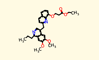 CCCc1ncc(Cc2ccc3cccc(OCCC(=O)OCC)c3n2)c2cc(OC)c(OC)cc12